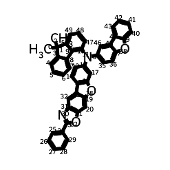 CC1(C)c2ccccc2-c2c(N(c3ccc4c(c3)oc3cc5oc(-c6ccccc6)nc5cc34)c3ccc4oc5ccccc5c4c3)cccc21